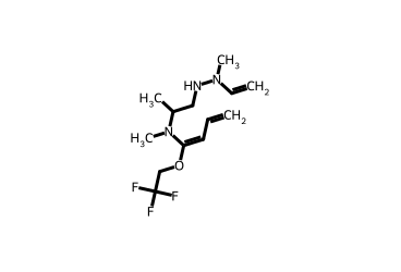 C=C/C=C(/OCC(F)(F)F)N(C)C(C)CNN(C)C=C